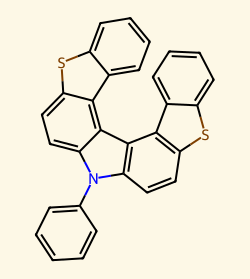 c1ccc(-n2c3ccc4sc5ccccc5c4c3c3c4c(ccc32)sc2ccccc24)cc1